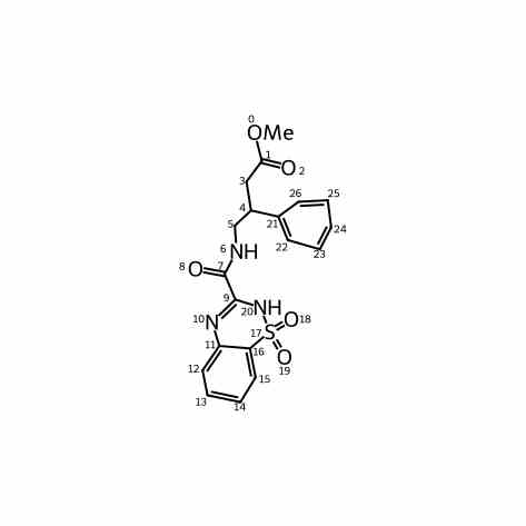 COC(=O)CC(CNC(=O)C1=Nc2ccccc2S(=O)(=O)N1)c1ccccc1